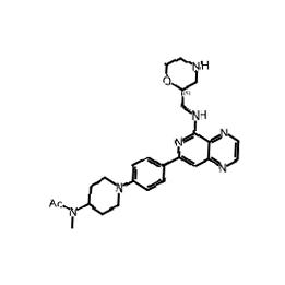 CC(=O)N(C)C1CCN(c2ccc(-c3cc4nccnc4c(NC[C@@H]4CNCCO4)n3)cc2)CC1